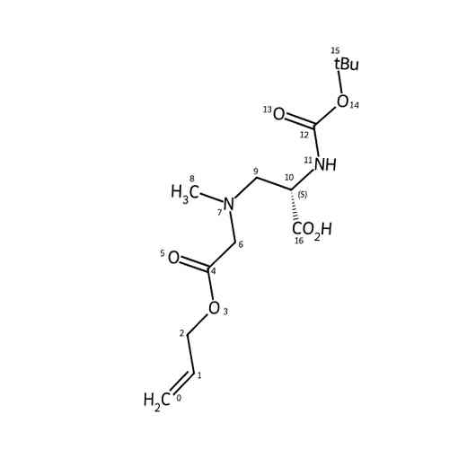 C=CCOC(=O)CN(C)C[C@H](NC(=O)OC(C)(C)C)C(=O)O